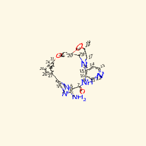 Nc1ncc2nc1C(=O)Nc1cnccc1N1CCOC(COc3cccc-2c3)C1